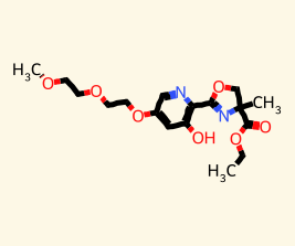 CCOC(=O)C1(C)COC(c2ncc(OCCOCCOC)cc2O)=N1